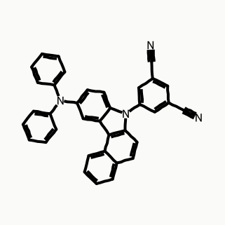 N#Cc1cc(C#N)cc(-n2c3ccc(N(c4ccccc4)c4ccccc4)cc3c3c4ccccc4ccc32)c1